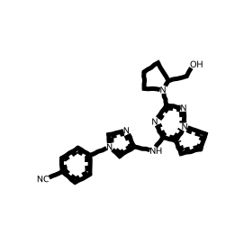 N#Cc1ccc(-n2cnc(Nc3nc(N4CCCC4CO)nn4cccc34)c2)cc1